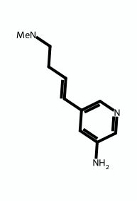 CNCCC=Cc1cncc(N)c1